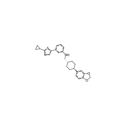 c1cc(NC[C@H]2CC[C@H](c3ccc4c(c3)OCO4)CC2)cc(-c2cnc(C3CC3)s2)c1